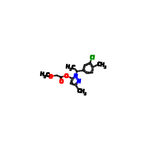 COCC(=O)Oc1cc(C)nn1C(C)c1ccc(C)c(Cl)c1